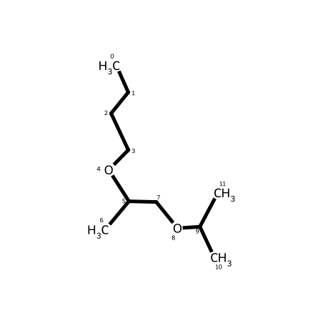 CCCCOC(C)COC(C)C